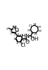 Cc1cc(-c2ccc(Cl)c(C(=O)NC(O)C3CCCCCC3)c2)on1